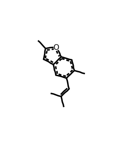 CC(C)=Cc1cc2cc(C)oc2cc1C